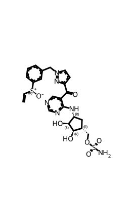 C=C[S@+]([O-])c1cccc(Cn2ccc(C(=O)c3cncnc3N[C@@H]3C[C@H](COS(N)(=O)=O)[C@@H](O)[C@H]3O)n2)c1